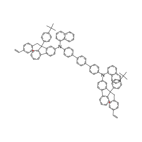 C=Cc1ccc(CC2(c3ccc(C(C)(C)C)cc3)c3ccccc3-c3ccc(N(c4ccc(-c5ccc(-c6ccc(N(c7ccc8c(c7)C(Cc7ccc(C=C)cc7)(c7ccc(C(C)(C)C)cc7)c7ccccc7-8)c7cccc8ccccc78)cc6)cc5)cc4)c4cccc5ccccc45)cc32)cc1